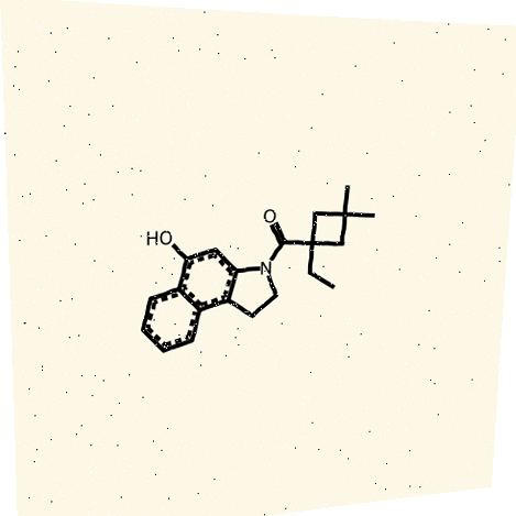 CCC1(C(=O)N2CCc3c2cc(O)c2ccccc32)CC(C)(C)C1